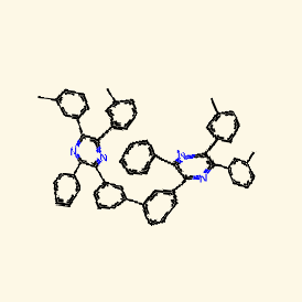 Cc1cccc(-c2nc(-c3ccccc3)c(-c3cccc(-c4cccc(-c5nc(-c6cccc(C)c6)c(-c6cccc(C)c6)nc5-c5ccccc5)c4)c3)nc2-c2cccc(C)c2)c1